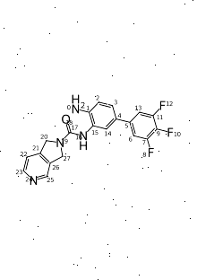 Nc1ccc(-c2cc(F)c(F)c(F)c2)cc1NC(=O)N1Cc2ccncc2C1